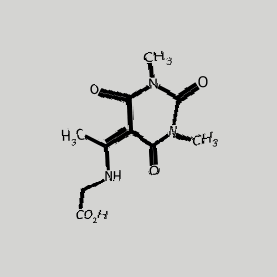 CC(NCC(=O)O)=C1C(=O)N(C)C(=O)N(C)C1=O